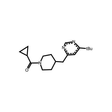 CC(C)(C)c1cc(CC2CCN(C(=O)C3CC3)CC2)ncn1